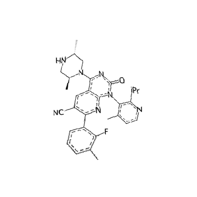 Cc1cccc(-c2nc3c(cc2C#N)c(N2C[C@@H](C)NC[C@@H]2C)nc(=O)n3-c2c(C)ccnc2C(C)C)c1F